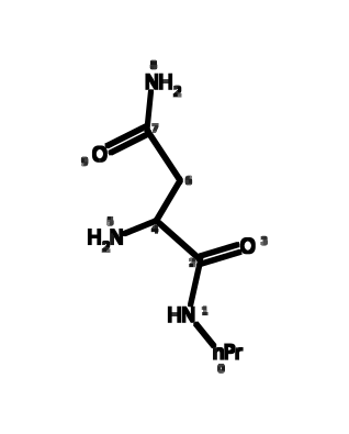 CCCNC(=O)C(N)CC(N)=O